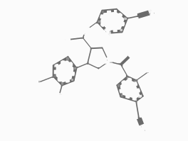 CC(Oc1ccc(C#N)cn1)C1CN(C(=O)c2ccc(C#N)cc2F)CC1c1ccc(Cl)c(Cl)c1